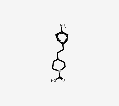 Nc1ccc(CCC2CCN(C(=O)O)CC2)cc1